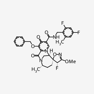 COC1=NO[C@@]2(CC[C@H](C)N3C[C@H]2n2cc(C(=O)NCc4c(C)cc(F)cc4F)c(=O)c(OCc4ccccc4)c2C3=O)[C@H]1F